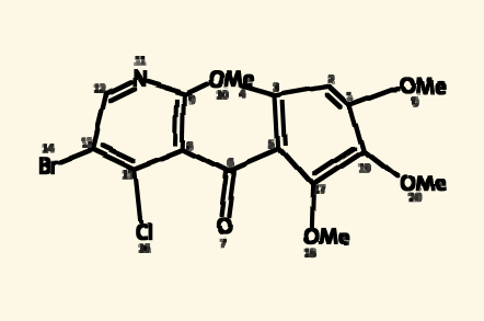 COc1cc(C)c(C(=O)c2c(OC)ncc(Br)c2Cl)c(OC)c1OC